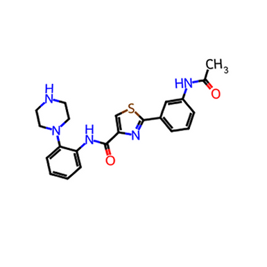 CC(=O)Nc1cccc(-c2nc(C(=O)Nc3ccccc3N3CCNCC3)cs2)c1